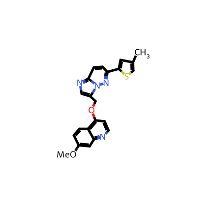 COc1ccc2c(OCc3cnc4ccc(-c5cc(C)cs5)nn34)ccnc2c1